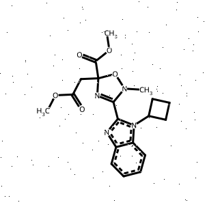 COC(=O)CC1(C(=O)OC)N=C(c2nc3ccccc3n2C2CCC2)N(C)O1